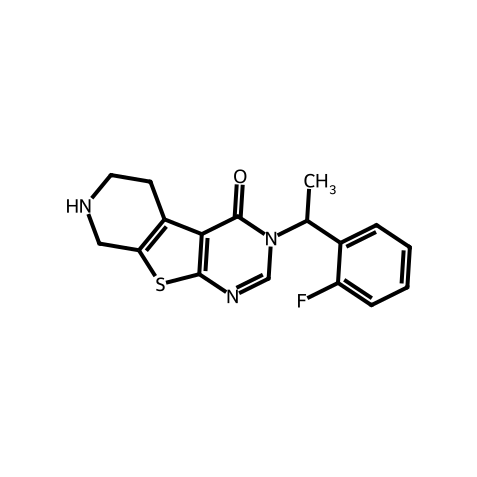 CC(c1ccccc1F)n1cnc2sc3c(c2c1=O)CCNC3